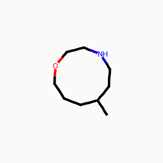 CC1CCCOCCNCC1